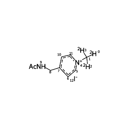 [2H]C([2H])([2H])[n+]1ccc(CNC(C)=O)cc1.[I-]